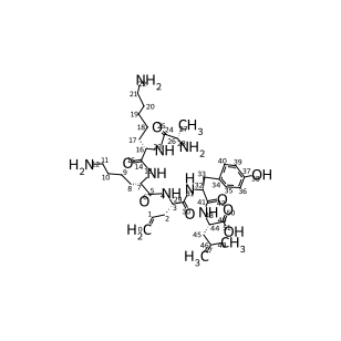 C=CC[C@H](NC(=O)[C@H](CCCCN)NC(=O)[C@H](CCCCCN)NC(=O)[C@H](C)N)C(=O)N[C@@H](Cc1ccc(O)cc1)C(=O)N[C@@H](CC(C)C)C(=O)O